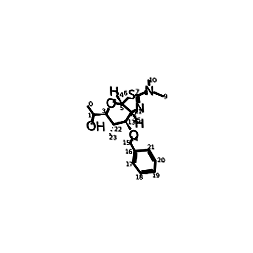 CC(O)[C@H]1O[C@@H]2SC(N(C)C)=N[C@@H]2[C@@H](OCc2ccccc2)[C@@H]1C